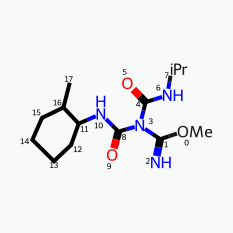 COC(=N)N(C(=O)NC(C)C)C(=O)NC1CCCCC1C